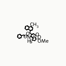 COC(=O)[C@H]1CC(=S)c2c(NC(=O)OCc3ccccc3)c(Cc3ccc(C)c4ccccc34)cc(=O)n21